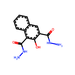 NNC(=O)c1cc2ccccc2c(C(=O)NN)c1O